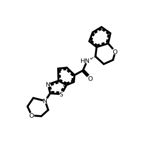 O=C(N[C@H]1CCOc2ccccc21)c1ccc2nc(N3CCOCC3)sc2c1